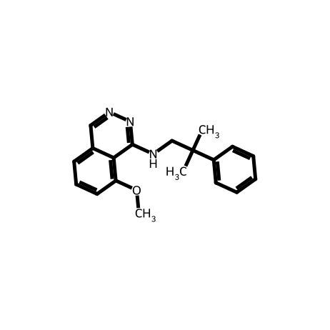 COc1cccc2cnnc(NCC(C)(C)c3ccccc3)c12